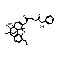 COc1ccc2c3c1O[C@H]1C(OC(=O)[C@H](C)NC(=O)[C@@H](O)c4ccccc4)=CC[C@@]4(O)[C@@H](C2)N(C)CC[C@]314